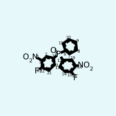 O=[N+]([O-])c1cc(P(=O)(c2ccccc2)c2ccc(F)c([N+](=O)[O-])c2)ccc1F